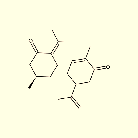 C=C(C)C1CC=C(C)C(=O)C1.CC(C)=C1CC[C@@H](C)CC1=O